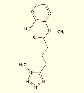 Cc1ccccc1N(C)C(=S)CCCc1nnnn1C